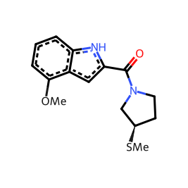 COc1cccc2[nH]c(C(=O)N3CC[C@@H](SC)C3)cc12